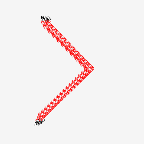 O.O.O.O.O.O.O.O.O.O.O.O.O.O.O.O.O.O.O.O.O.O.O.O.O.O.O.O.O.O.O.O.O.O.O.O.O.O.O.O.O.O.O.O.O.O.O.O.O.O.O.O.O.O.O.O.O.O.O.O.O.O.O.O.O.O.[Na+].[Na+].[Na+].[Na+].[Na+].[Na+].[OH-].[OH-].[OH-].[OH-].[OH-].[OH-]